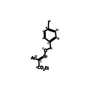 CCOC(=O)C(=NOCc1ccc(C)cc1)C(C)=O